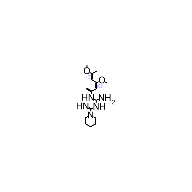 C=C(/C=C(\C=C(/C)OC)OC)NC(N)NC(=N)N1CCCCC1